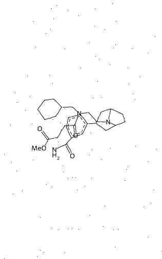 COC(=O)CCC(=O)N(CCN1C2CCC1CC(c1cccc(C(N)=O)c1)C2)CC1CCCCC1